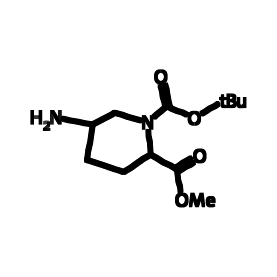 COC(=O)C1CCC(N)CN1C(=O)OC(C)(C)C